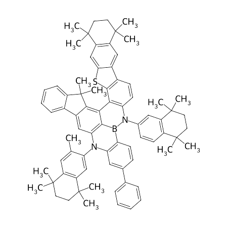 Cc1cc2c(cc1N1c3cc(-c4ccccc4)ccc3B3c4c1cc1c(c4-c4c(ccc5c4sc4cc6c(cc45)C(C)(C)CCC6(C)C)N3c3ccc4c(c3)C(C)(C)CCC4(C)C)C(C)(C)c3ccccc3-1)C(C)(C)CCC2(C)C